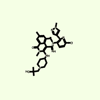 Cc1cc(C(C)Nc2ccc(Cl)nc2-c2cnn(C)c2)c2c(C=N)c(NC3CCN(CC(C)(C)O)CC3)n(C)c(=O)c2c1